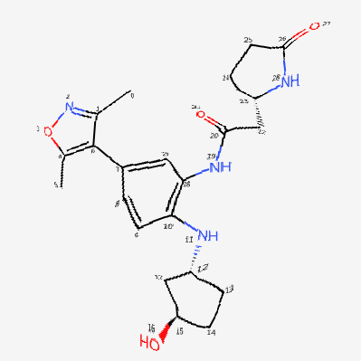 Cc1noc(C)c1-c1ccc(N[C@@H]2CC[C@@H](O)C2)c(NC(=O)C[C@@H]2CCC(=O)N2)c1